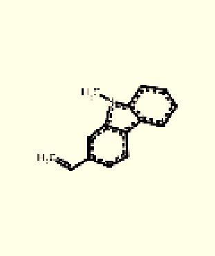 C=Cc1ccc2c3ccccc3n(C)c2c1